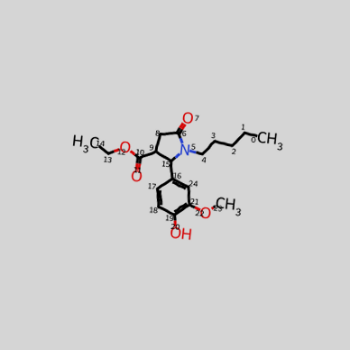 CCCCCN1C(=O)CC(C(=O)OCC)C1c1ccc(O)c(OC)c1